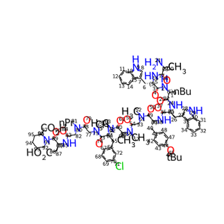 CCCC[C@H](NC(=O)[C@H](Cc1c[nH]c2ccccc12)NC(=O)[C@H](C)N)C(=O)N[C@@H](Cc1c[nH]c2ccccc12)C(=O)N[C@H](Cc1ccc(OC(C)(C)C)cc1)C(=O)N(C)CC(=O)N(C)[C@@H](C)C(=O)N(C)[C@@H](Cc1cccc(Cl)c1)C(=O)N(C)CC(=O)N(CCC)CC(=O)N[C@@H](CC(=O)O)C(=O)N1CCCC[C@H]1C(=O)O